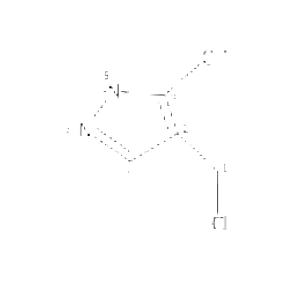 ClCC1=C(Cl)[N]N=C1